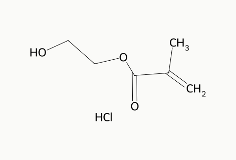 C=C(C)C(=O)OCCO.Cl